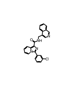 O=C(NCc1cncc2ccccc12)c1nc(-c2cccc(Cl)c2)n2ccccc12